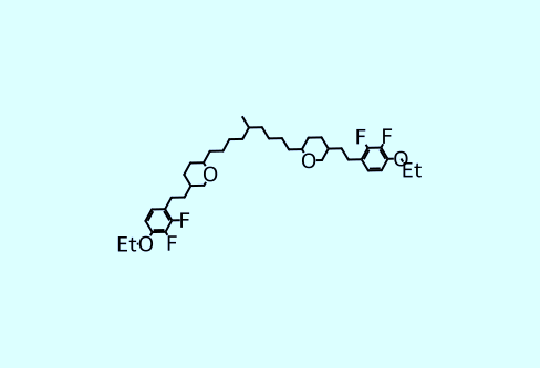 CCOc1ccc(CCC2CCC(CCCCC(C)CCCCC3CCC(CCc4ccc(OCC)c(F)c4F)CO3)OC2)c(F)c1F